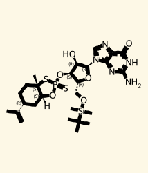 C=C(C)[C@@H]1CC[C@]2(C)SP(=S)(O[C@H]3[C@@H](O)[C@H](n4cnc5c(=O)[nH]c(N)nc54)O[C@@H]3CO[Si](C)(C)C(C)(C)C)O[C@H]2C1